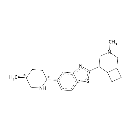 C[C@H]1CC[C@H](c2ccc3sc(C4CN(C)CC5CCC54)nc3c2)NC1